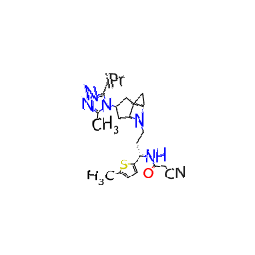 Cc1ccc([C@H](CCN2C3CC(n4c(C)nnc4C(C)C)CC34CC24)NC(=O)CC#N)s1